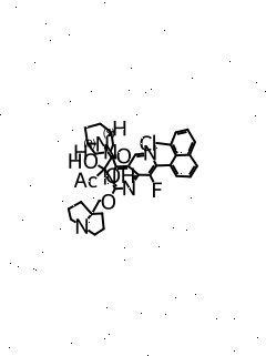 CC(=O)C(O)(O)C(=O)N1[C@@H]2CC[C@H]1CN(c1nc(OCC34CCCN3CCC4)nc3c(F)c(-c4cccc5cccc(Cl)c45)ncc13)C2